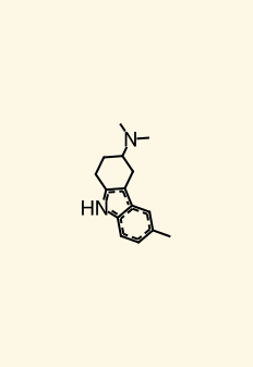 Cc1ccc2[nH]c3c(c2c1)CC(N(C)C)CC3